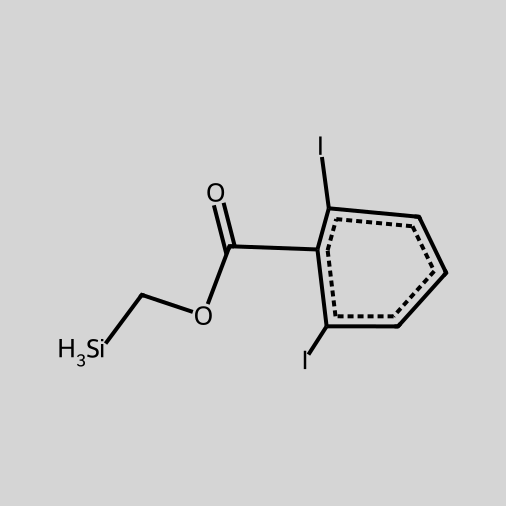 O=C(OC[SiH3])c1c(I)cccc1I